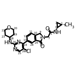 C[C@H]1C[C@@H]1NC(=O)CN1Cc2ccc(-c3nc(NC4CCOCC4)ncc3Cl)cc2C1=O